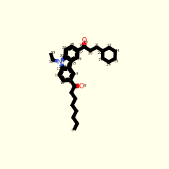 CCCCCCCC(=O)c1ccc2c(c1)c1cc(C(=O)CCC3CCCCC3)ccc1n2CC